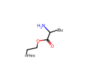 CCCCCCCCOC(=O)C(N)C(C)CC